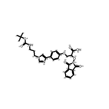 CC(C)(C)OC(=O)NCCCn1cnc(-c2ccc(OCC(ON3C(=O)c4ccccc4C3=O)C(=O)O)cc2)c1